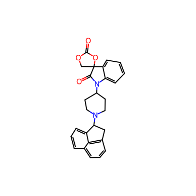 O=C1OCC2(O1)C(=O)N(C1CCN(C3Cc4cccc5cccc3c45)CC1)c1ccccc12